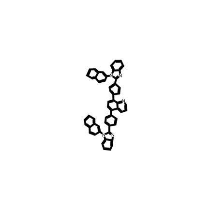 c1ccc2cc(-n3c(-c4ccc(-c5ccc(-c6ccc(-c7nc8ccccc8n7-c7ccc8ccccc8c7)cc6)c6ncccc56)cc4)nc4ccccc43)ccc2c1